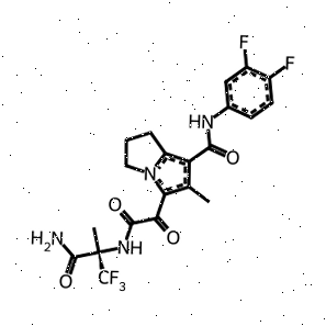 Cc1c(C(=O)Nc2ccc(F)c(F)c2)c2n(c1C(=O)C(=O)N[C@@](C)(C(N)=O)C(F)(F)F)CCC2